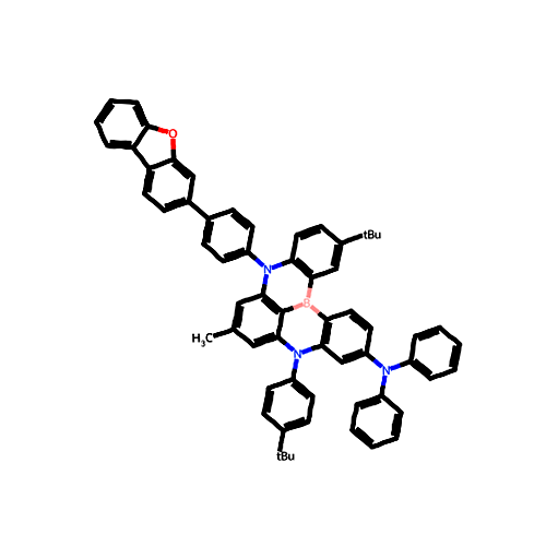 Cc1cc2c3c(c1)N(c1ccc(C(C)(C)C)cc1)c1cc(N(c4ccccc4)c4ccccc4)ccc1B3c1cc(C(C)(C)C)ccc1N2c1ccc(-c2ccc3c(c2)oc2ccccc23)cc1